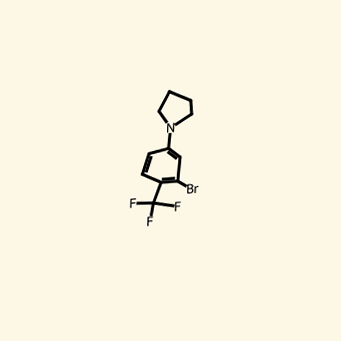 FC(F)(F)c1ccc(N2CCCC2)cc1Br